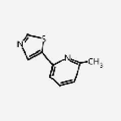 Cc1cccc(-c2cncs2)n1